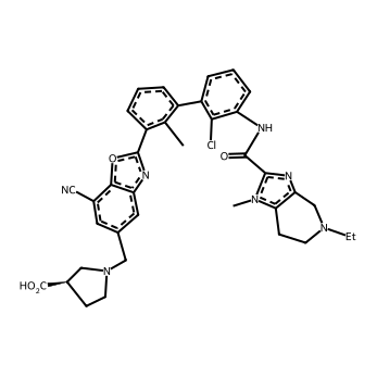 CCN1CCc2c(nc(C(=O)Nc3cccc(-c4cccc(-c5nc6cc(CN7CC[C@@H](C(=O)O)C7)cc(C#N)c6o5)c4C)c3Cl)n2C)C1